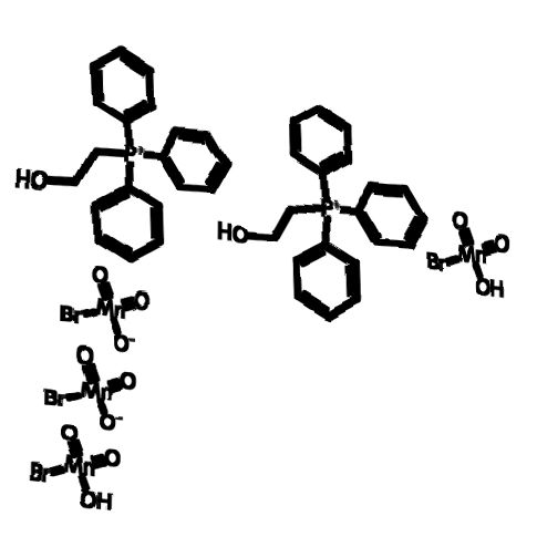 OCC[P+](c1ccccc1)(c1ccccc1)c1ccccc1.OCC[P+](c1ccccc1)(c1ccccc1)c1ccccc1.[O]=[Mn](=[O])([O-])[Br].[O]=[Mn](=[O])([O-])[Br].[O]=[Mn](=[O])([OH])[Br].[O]=[Mn](=[O])([OH])[Br]